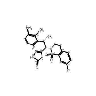 Cc1ccc(F)c([C@H](C)[C@@H](c2n[nH]c(=O)o2)N2CCc3ccc(Cl)cc3S2(=O)=O)c1C